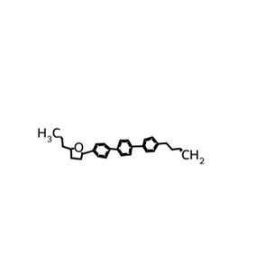 C=CCCc1ccc(-c2ccc(-c3ccc(C4CCC(CCC)O4)cc3)cc2)cc1